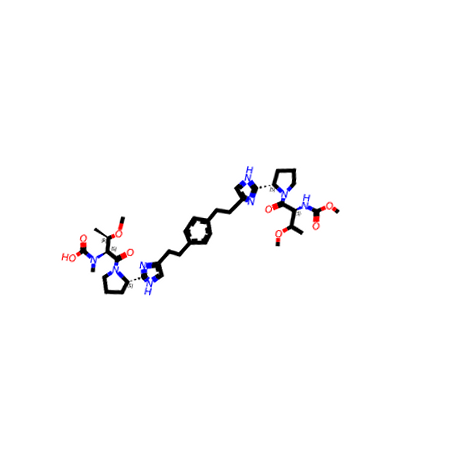 COC(=O)N[C@H](C(=O)N1CCC[C@H]1c1nc(CCc2ccc(CCc3c[nH]c([C@@H]4CCCN4C(=O)[C@H]([C@@H](C)OC)N(C)C(=O)O)n3)cc2)c[nH]1)C(C)OC